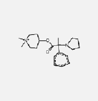 CC(C(=O)OC1CC[N+](C)(C)CC1)(c1ccccc1)N1CCCC1